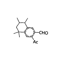 CC(=O)c1cc2c(cc1C=O)C(C)C(C)CC2(C)C